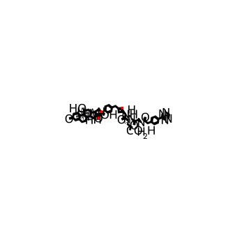 C[C@]12C=CC(=O)C=C1CC[C@@H]1[C@@H]2[C@@H](O)C[C@@]2(C)[C@H]1C[C@H]1CN(c3ccc(CC45CC(NC(=O)[C@H](CCC(=O)O)NC(=O)CNC(=O)Cc6ccc(-c7nncnn7)cc6)(C4)C5)cc3)C[C@]12C(=O)CO